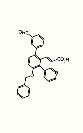 O=Cc1cccc(-c2ccc(OCc3ccccc3)c(-c3cccnc3)c2C=CC(=O)O)c1